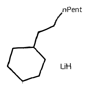 CCCCCCCC1CC[CH]CC1.[LiH]